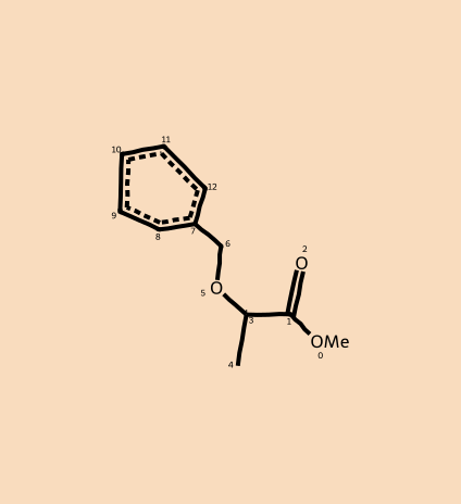 COC(=O)[C](C)OCc1ccccc1